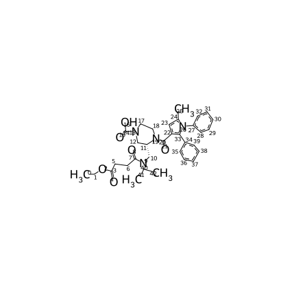 CCOC(=O)CCC(=O)N(C[C@@H]1CN(C(=O)O)CCN1C(=O)c1cc(C)n(-c2ccccc2)c1-c1ccccc1)C(C)C